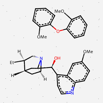 CC[C@H]1C[N@]2CC[C@H]1C[C@@H]2[C@@H](O)c1ccnc2ccc(OC)cc12.COc1ccccc1Oc1ccccc1OC